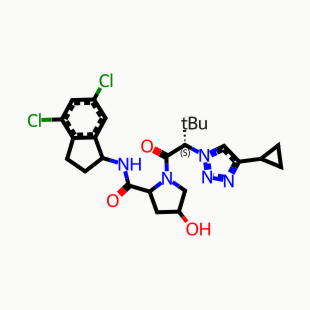 CC(C)(C)[C@@H](C(=O)N1CC(O)CC1C(=O)NC1CCc2c(Cl)cc(Cl)cc21)n1cc(C2CC2)nn1